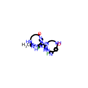 Cc1cnc2nc1NCCCCCCC(=O)N1CCN(CC1)c1cc(c(F)nc1Cc1cnc3nc1NCCCCCNC(=O)c1ccc(cc1)-c1cnc(F)c(c1)N3)N2